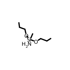 CCCO[Si](C)(N)OCCC